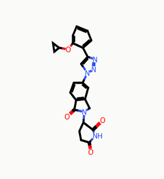 O=C1CCC(N2Cc3cc(-n4cc(-c5ccccc5OC5CC5)nn4)ccc3C2=O)C(=O)N1